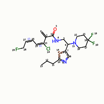 C=C(C(=O)NCC(c1cnc(CCC)s1)N1CCC(F)(F)CC1)/C(Cl)=C\C=C/CF